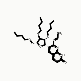 CCCCOC[C@H]1O[C@@H](c2cc3ccc(=O)[nH]c3nc2/N=C/N)[C@@H](OCCCC)C1OCCCC